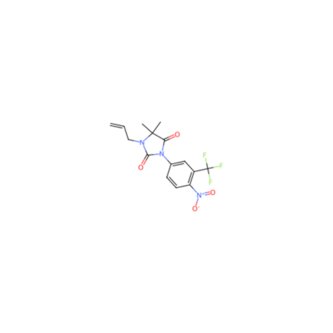 C=CCN1C(=O)N(c2ccc([N+](=O)[O-])c(C(F)(F)F)c2)C(=O)C1(C)C